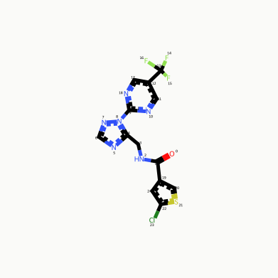 O=C(NCc1ncnn1-c1ncc(C(F)(F)F)cn1)c1csc(Cl)c1